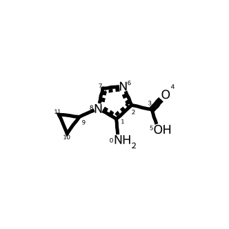 Nc1c(C(=O)O)ncn1C1CC1